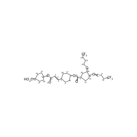 O=C(/C=C/C1CCC(OC(=O)C2CCC(OCCCC(F)(F)F)C(OCCCC(F)(F)F)C2)CC1)OC1CCC(C(=O)O)CC1